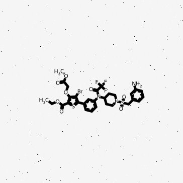 CCOC(=O)c1sc(-c2cccc(N(C(=O)C(F)(F)F)C3CCN(S(=O)(=O)Cc4cccc(N)c4)CC3)c2)c(Br)c1OCC(=O)OC